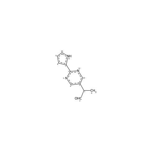 CC(C=O)c1cnc(-c2ccc[nH]2)nc1